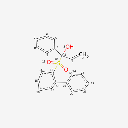 C=CC(O)(c1ccccc1)S(=O)(=O)c1ccccc1-c1ccccc1